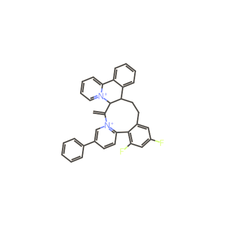 C=C1C2C(CCc3cc(F)cc(F)c3-c3ccc(-c4ccccc4)c[n+]31)c1ccccc1-c1cccc[n+]12